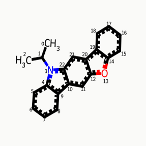 CC(C)n1c2ccccc2c2cc3oc4ccccc4c3cc21